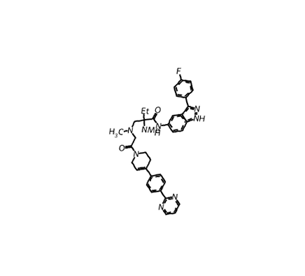 CCC(CN(C)CC(=O)N1CC=C(c2ccc(-c3ncccn3)cc2)CC1)(NC)C(=O)Nc1ccc2[nH]nc(-c3ccc(F)cc3)c2c1